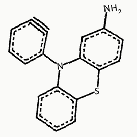 Nc1ccc2c(c1)N(c1c#cccc1)c1ccccc1S2